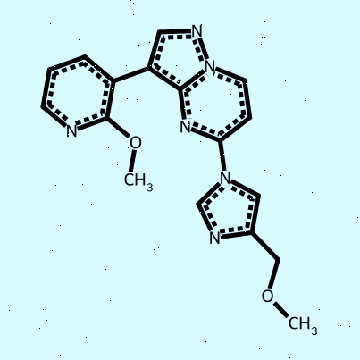 COCc1cn(-c2ccn3ncc(-c4cccnc4OC)c3n2)cn1